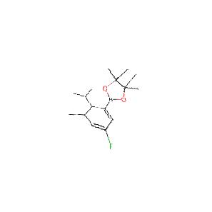 CC(C)C1C(B2OC(C)(C)C(C)(C)O2)=CC(F)=CC1C